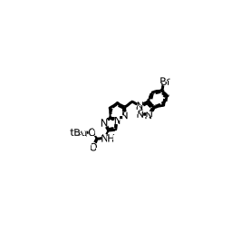 CC(C)(C)OC(=O)Nc1cn2nc(Cn3nnc4ccc(Br)cc43)ccc2n1